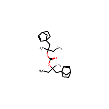 CCC(C)(CC12C=CC(CC1)C2)OC(=O)OC(C)(CC)CC12C=CC(CC1)C2